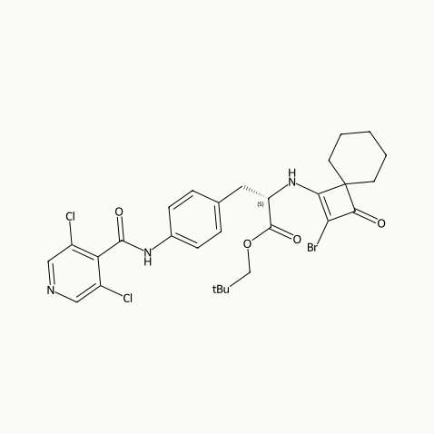 CC(C)(C)COC(=O)[C@H](Cc1ccc(NC(=O)c2c(Cl)cncc2Cl)cc1)NC1=C(Br)C(=O)C12CCCCC2